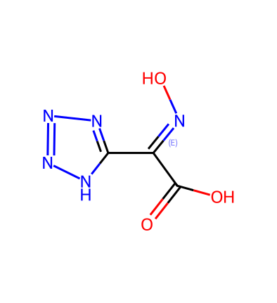 O=C(O)/C(=N/O)c1nnn[nH]1